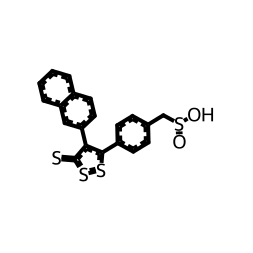 O=S(O)Cc1ccc(-c2ssc(=S)c2-c2ccc3ccccc3c2)cc1